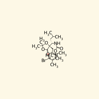 Cc1cnc(C[C@]2([C@H](CC(C)C)NC(=O)OC(C)(C)C)OC(C)(C)OC2=O)cc1Br